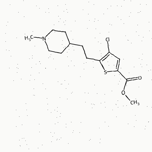 COC(=O)c1cc(Cl)c(CCC2CCN(C)CC2)s1